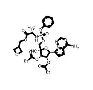 CCC(=O)O[C@H]1[C@H](c2ccc3c(N)ncnn23)O[C@](C#N)(CO[P@](=O)(N[C@@H](C)C(=O)OCC2COC2)Oc2ccccc2)[C@H]1OC(=O)CC